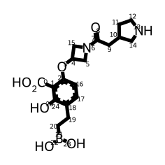 O=C(O)c1c(OC2CN(C(=O)CC3CCNC3)C2)ccc(CCB(O)O)c1O